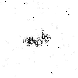 NNS(=O)(=O)Cc1nc2ccc(-c3c[nH]c4cc(F)ccc34)cc2o1